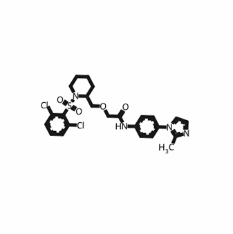 Cc1nccn1-c1ccc(NC(=O)COCC2CCCCN2S(=O)(=O)c2c(Cl)cccc2Cl)cc1